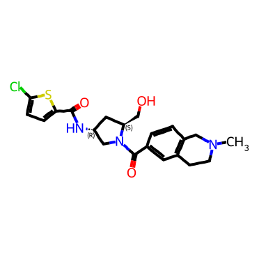 CN1CCc2cc(C(=O)N3C[C@H](NC(=O)c4ccc(Cl)s4)C[C@H]3CO)ccc2C1